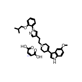 COc1ccc2[nH]cc(C3=CCN(CCc4cnn(-c5ccccc5OCC(C)C)c4)CC3)c2c1.O=C(O)/C=C\C(=O)O